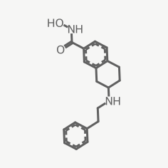 O=C(NO)c1ccc2c(c1)CC(NCCc1ccccc1)CC2